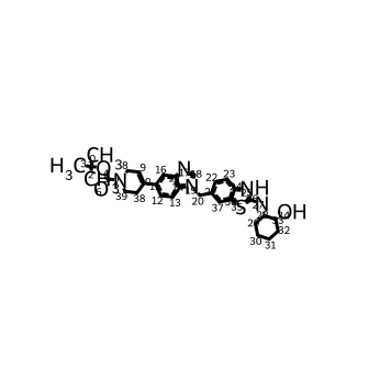 CC(C)(C)OC(=O)N1CC=C(c2ccc3c(c2)ncn3Cc2ccc3nc(N[C@@H]4CCCC[C@H]4O)sc3c2)CC1